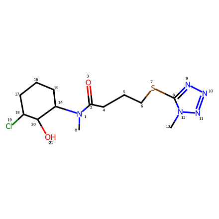 CN(C(=O)CCCSc1nnnn1C)C1CCCC(Cl)C1O